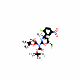 CC(C)(C)OC(=O)N(C(=O)OC(C)(C)C)C1=N[C@](C)(c2cc([N+](=O)[O-])ccc2F)[C@@H](F)[C@H](CF)O1